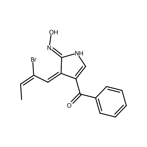 C\C=C(Br)/C=C1/C(C(=O)c2ccccc2)=CN/C1=N\O